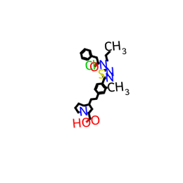 CCCCN(C(=O)Cc1ccccc1Cl)c1nnc(-c2ccc(CCC3CC(C(=O)O)N4CCCC34)cc2C)s1